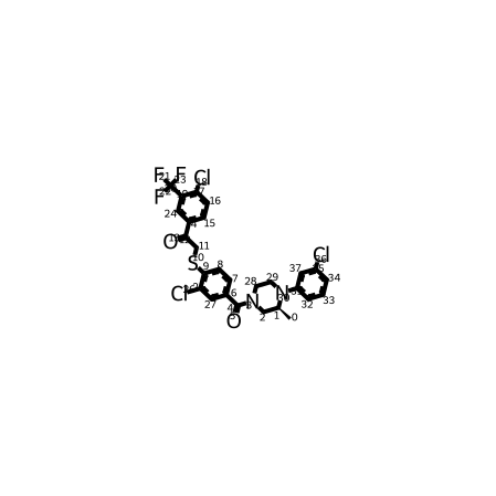 C[C@H]1CN(C(=O)c2ccc(SCC(=O)c3ccc(Cl)c(C(F)(F)F)c3)c(Cl)c2)CCN1c1cccc(Cl)c1